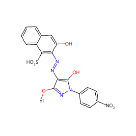 CCOc1nn(-c2ccc([N+](=O)[O-])cc2)c(O)c1N=Nc1c(O)cc2ccccc2c1S(=O)(=O)O